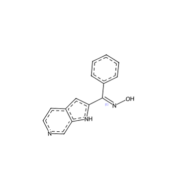 O/N=C(\c1ccccc1)c1cc2ccncc2[nH]1